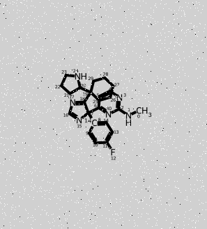 CNc1nccc(C2([14c]3ccc(F)cc3)N=CN=C2C2(C3CCCN3)CCCCC2)n1